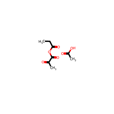 CC(=O)O.CCC(=O)OC(=O)C(C)=O